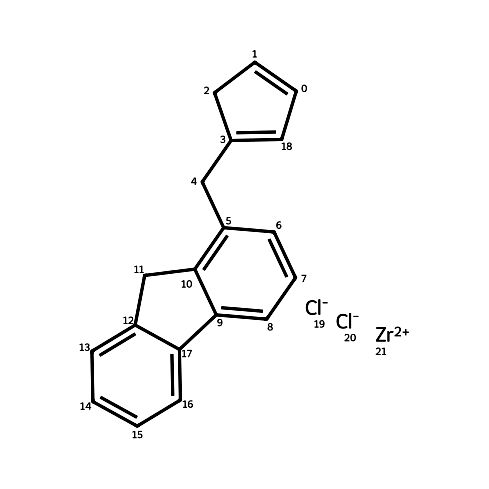 C1=CCC(Cc2cccc3c2Cc2ccccc2-3)=C1.[Cl-].[Cl-].[Zr+2]